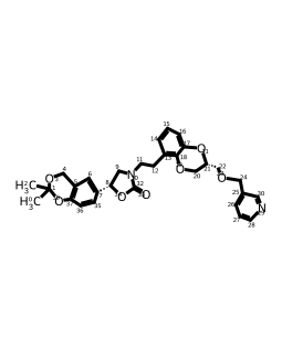 CC1(C)OCc2cc([C@@H]3CN(CCc4cccc5c4OC[C@@H](COCc4cccnc4)O5)C(=O)O3)ccc2O1